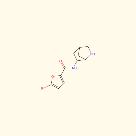 O=C(NC1CC2CNC1C2)c1ccc(Br)o1